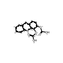 O=C(O)Oc1ccc2cc3ccccc3nc2c1OC(=O)O